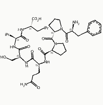 CC(C)C[C@H](NC(=O)[C@@H](NC(=O)[C@H](CO)NC(=O)[C@H](CCC(N)=O)NC(=O)[C@@H]1CCCN1C(=O)[C@@H]1CCCN1C(=O)[C@@H](N)Cc1ccccc1)C(C)C)C(=O)O